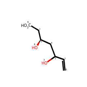 C=CC(O)C[C@@H](O)CC(=O)O